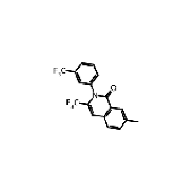 Cc1ccc2cc(C(F)(F)F)n(-c3cccc(C(F)(F)F)c3)c(=O)c2c1